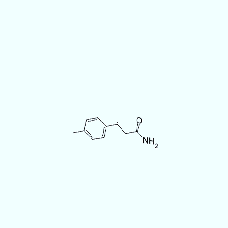 Cc1ccc([CH]CC(N)=O)cc1